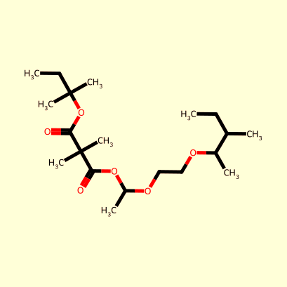 CCC(C)C(C)OCCOC(C)OC(=O)C(C)(C)C(=O)OC(C)(C)CC